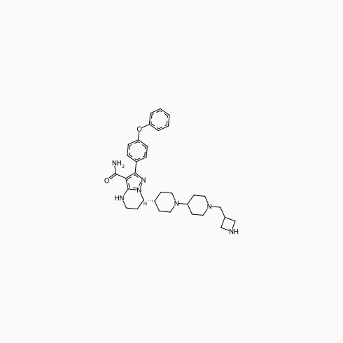 NC(=O)c1c(-c2ccc(Oc3ccccc3)cc2)nn2c1NCC[C@H]2C1CCN(C2CCN(CC3CNC3)CC2)CC1